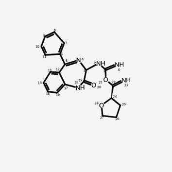 N=C(NC1N=C(c2ccccc2)c2ccccc2NC1=O)OC(=N)[C@H]1CCCO1